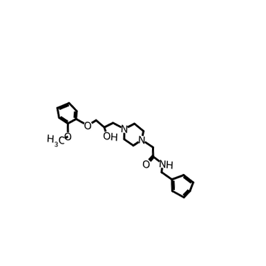 COc1ccccc1OCC(O)CN1CCN(CC(=O)NCc2ccccc2)CC1